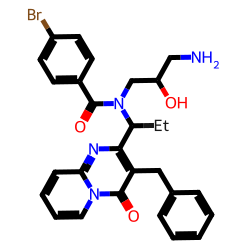 CCC(c1nc2ccccn2c(=O)c1Cc1ccccc1)N(CC(O)CN)C(=O)c1ccc(Br)cc1